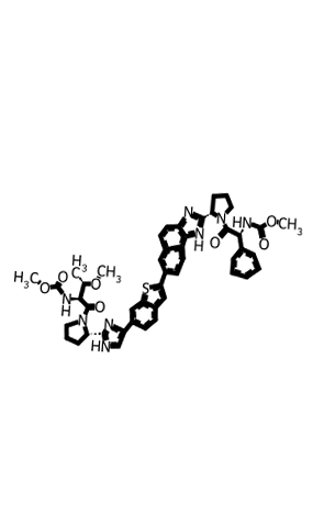 COC(=O)N[C@H](C(=O)N1CCC[C@H]1c1nc(-c2ccc3cc(-c4ccc5c(ccc6nc([C@@H]7CCCN7C(=O)[C@H](NC(=O)OC)c7ccccc7)[nH]c65)c4)sc3c2)c[nH]1)[C@H](C)OC